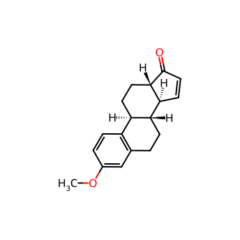 COc1ccc2c(c1)CC[C@H]1[C@@H]3C=CC(=O)[C@H]3CC[C@H]21